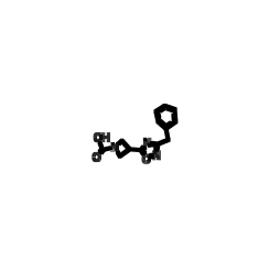 O=C(O)N1CC(c2nc(Cc3ccccc3)no2)C1